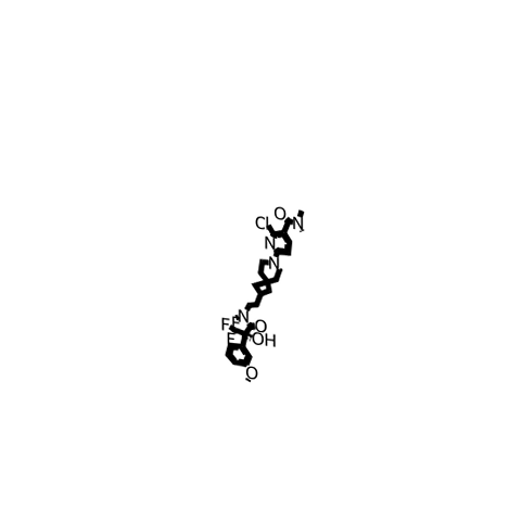 COc1cccc([C@@](O)(C(=O)N(C)CCC2CC3(CCN(c4ccc(C(=O)N(C)C)c(Cl)n4)CC3)C2)C(F)(F)F)c1